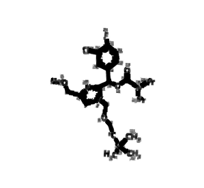 COCc1cn(COCC[Si](C)(C)C)c(C(OC(=O)N(C(C)C)C(C)C)c2ccc(F)c(Cl)c2)n1